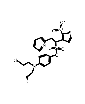 O=[N+]([O-])c1sccc1C(Cc1ccccn1)S(=O)(=O)Oc1ccc(N(CCCl)CCCl)cc1